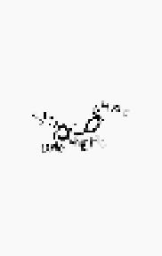 COc1nc(OCC(F)(F)F)ccc1CN(C)C(=O)c1ccnc(NC(C)=O)c1